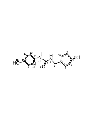 O=C(NCc1ccc(Cl)cc1)Nc1ccc(O)cn1